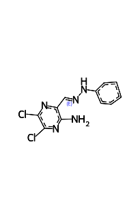 Nc1nc(Cl)c(Cl)nc1/C=N/Nc1ccccc1